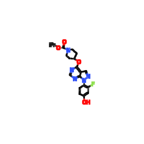 CC(C)OC(=O)N1CCC(Oc2ncnc3c2cnn3-c2ccc(O)cc2F)CC1